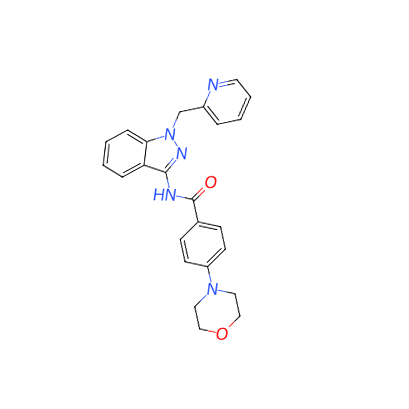 O=C(Nc1nn(Cc2ccccn2)c2ccccc12)c1ccc(N2CCOCC2)cc1